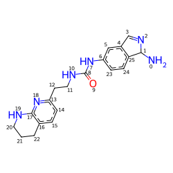 NC1N=Cc2cc(NC(=O)NCCc3ccc4c(n3)NCCC4)ccc21